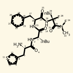 CCCC[C@H](NC(=O)[C@@H](N)Cc1ccsc1)C(=O)N[C@@H](Cc1ccccc1)C(=O)N[C@@](F)(CCCC)C(=O)N(C)F